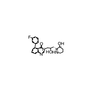 O=c1c2c(-c3cccc(F)c3)cccc2ncn1CC(O)C[C@H]1NCCC[C@@H]1O